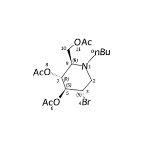 CCCCN1C[C@H](Br)[C@@H](OC(C)=O)[C@H](OC(C)=O)[C@H]1COC(C)=O